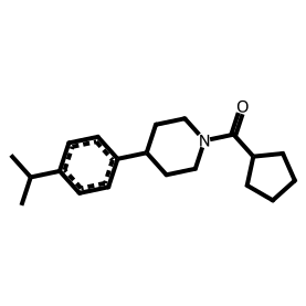 CC(C)c1ccc(C2CCN(C(=O)C3CCCC3)CC2)cc1